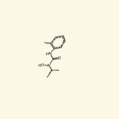 Cc1ccccc1NC(=O)N(O)C(C)C